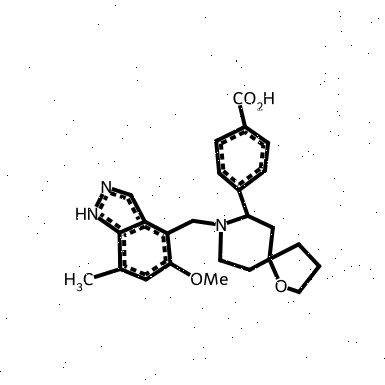 COc1cc(C)c2[nH]ncc2c1CN1CCC2(CCCO2)CC1c1ccc(C(=O)O)cc1